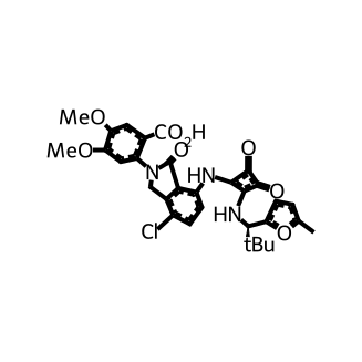 COc1cc(C(=O)O)c(N2Cc3c(Cl)ccc(Nc4c(N[C@@H](c5ccc(C)o5)C(C)(C)C)c(=O)c4=O)c3C2=O)cc1OC